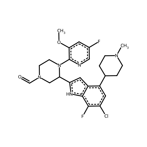 COc1cc(F)cnc1N1CCN(C=O)CC1c1cc2c(C3CCN(C)CC3)cc(Cl)c(F)c2[nH]1